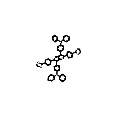 c1ccc(N(c2ccccc2)c2ccc(-c3c(-c4ccc(C5OCCO5)cc4)sc4c(-c5ccc(N(c6ccccc6)c6ccccc6)cc5)c(-c5ccc(C6OCCO6)cc5)sc34)cc2)cc1